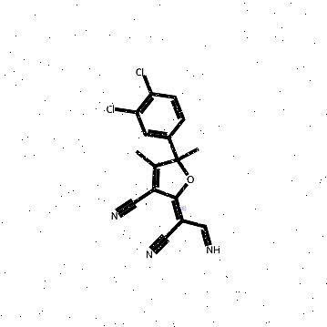 CC1=C(C#N)/C(=C(\C#N)C=N)OC1(C)c1ccc(Cl)c(Cl)c1